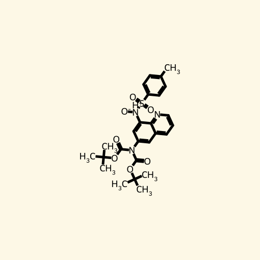 Cc1ccc(S(=O)(=O)[NH+]([O-])c2cc(N(C(=O)OC(C)(C)C)C(=O)OC(C)(C)C)cc3cccnc23)cc1